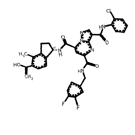 C=C(O)c1ccc2c(c1C)CC[C@@H]2NC(=O)c1cc(C(=O)NCc2ccc(F)c(F)c2)nc2c(C(=O)Nc3ccccc3Cl)cnn12